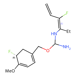 C=C/C(F)=C(/CC)NC(N)OCC1=CC=C(OC)[C@H](F)C1